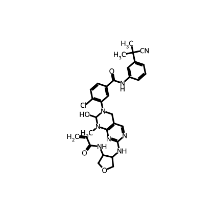 C=CC(=O)NC1COCC1Nc1ncc2c(n1)N(C)C(O)N(c1cc(C(=O)Nc3cccc(C(C)(C)C#N)c3)ccc1Cl)C2